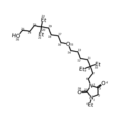 CCN1CC(=O)N(CCC(CC)(CC)CCCCOCCCCC(CC)(CC)CCCO)C1=O